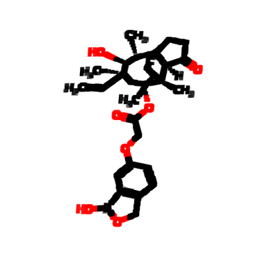 C=C[C@]1(C)C[C@@H](OC(=O)COc2ccc3c(c2)B(O)OC3)[C@]2(C)[C@H](C)CC[C@]3(CCC(=O)[C@H]32)[C@@H](C)[C@@H]1O